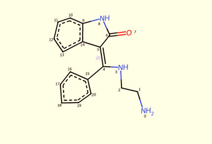 NCCN/C(=C1\C(=O)Nc2ccccc21)c1ccccc1